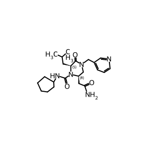 CC(C)C[C@H]1C(=O)N(Cc2cccnc2)C[C@@H](CC(N)=O)N1C(=O)NC1CCCCC1